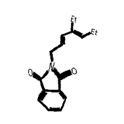 CCC=C(C=CCN1C(=O)c2ccccc2C1=O)CC